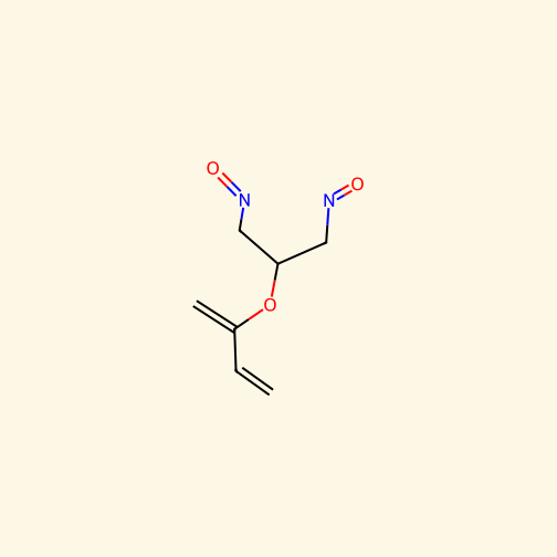 C=CC(=C)OC(CN=O)CN=O